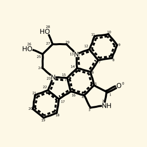 O=C1NCc2c1c1c3ccccc3n3c1c1c2c2ccccc2n1CC(O)C(O)C3